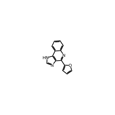 c1coc(-c2nc3ccccc3c3[nH]cnc23)c1